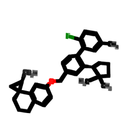 Cc1ccc(F)c(-c2ccc(COc3ccc4c(c3)[C@]3(CCC4)C[C@H]3C(=O)O)cc2[C@H]2CCCC2(C)C)c1